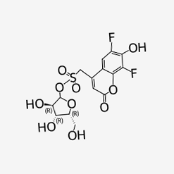 O=c1cc(CS(=O)(=O)OC2O[C@H](CO)[C@H](O)[C@H]2O)c2cc(F)c(O)c(F)c2o1